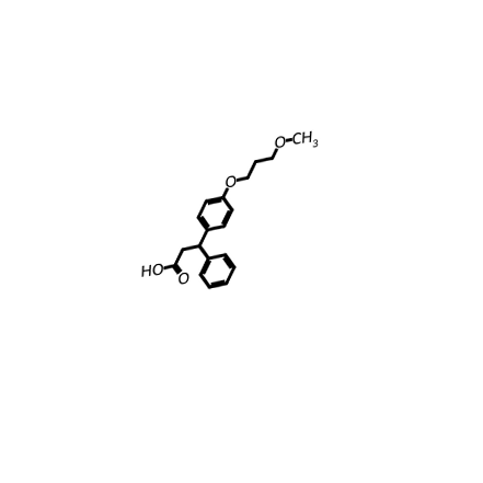 COCCCOc1ccc(C(CC(=O)O)c2ccccc2)cc1